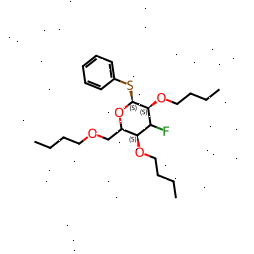 CCCCOCC1O[C@@H](Sc2ccccc2)[C@@H](OCCCC)C(F)[C@H]1OCCCC